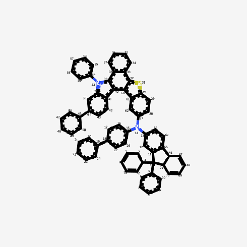 C1=CCC(C2(c3ccccc3)c3cc(N(c4ccc(-c5ccccc5)cc4)c4ccc5sc6c7ccccc7c7c(c8ccc(-c9ccccc9)cc8n7-c7ccccc7)c6c5c4)ccc3C3C=CC=CC32)C=C1